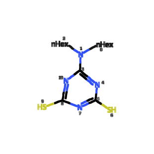 CCCCCCN(CCCCCC)c1nc(S)nc(S)n1